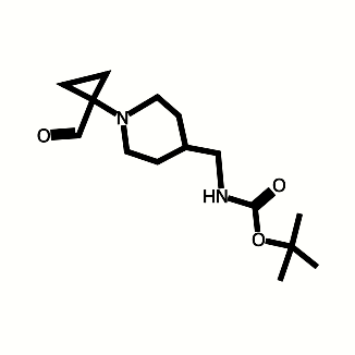 CC(C)(C)OC(=O)NCC1CCN(C2(C=O)CC2)CC1